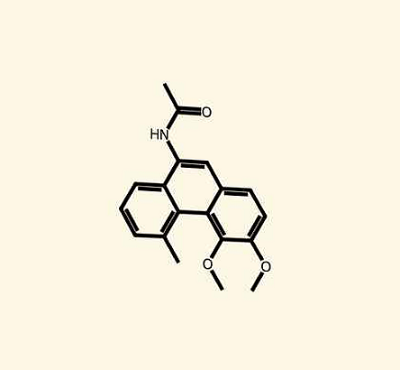 COc1ccc2cc(NC(C)=O)c3cccc(C)c3c2c1OC